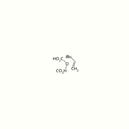 C=CC(C)CC.O=C(O)OC(=O)O